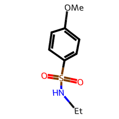 [CH2]CNS(=O)(=O)c1ccc(OC)cc1